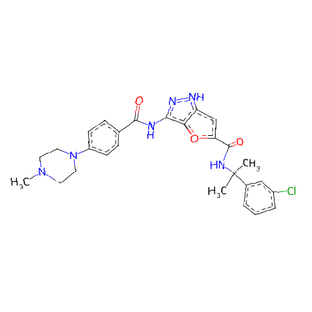 CN1CCN(c2ccc(C(=O)Nc3n[nH]c4cc(C(=O)NC(C)(C)c5cccc(Cl)c5)oc34)cc2)CC1